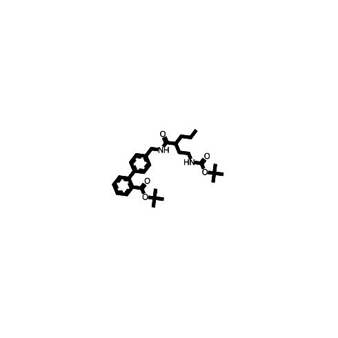 CCCC(CCNC(=O)OC(C)(C)C)C(=O)NCc1ccc(-c2ccccc2C(=O)OC(C)(C)C)cc1